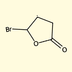 O=C1C[CH]C(Br)O1